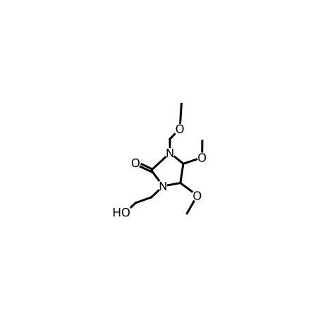 COCN1C(=O)N(CCO)C(OC)C1OC